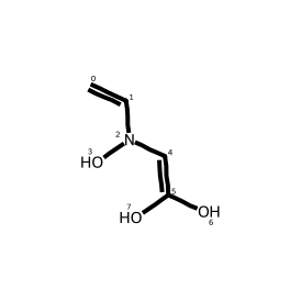 C=CN(O)C=C(O)O